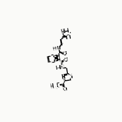 CC(=O)c1csc(CNC(=O)[C@@H]2C3C=CC([C@H]2C(=O)NCCC(N)=O)C32CC2)n1